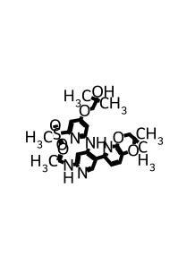 CC(=O)Nc1cc(Nc2cc(OCC(C)(C)O)cc(S(C)(=O)=O)n2)c(-c2ccc3c(n2)OCC(C)(C)O3)cn1